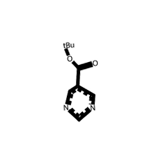 CC(C)(C)OC(=O)c1cncnc1